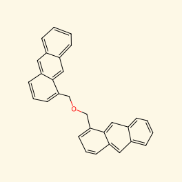 c1ccc2cc3c(COCc4cccc5cc6ccccc6cc45)cccc3cc2c1